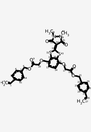 C=Cc1ccc(COC(=O)COc2ccc(OCC(=O)OCc3ccc(C=C)cc3)c3c2SC(=C2C(=O)N(C)N(C)C2=O)S3)cc1